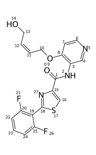 O=C(Nc1cnccc1OC/C=C\CO)c1csc(-c2c(F)cccc2F)n1